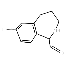 O=CC1NCCCc2cc(Br)ccc21